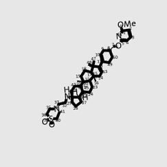 COc1cccc(OC[C@H]2CC=C(C3=CC[C@@]4(C)C(CC[C@]5(C)C4CC[C@@H]4[C@H]6CCC[C@]6(NCCN6CCS(=O)(=O)CC6)CC[C@]45C)C3(C)C)CC2)n1